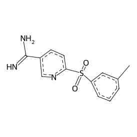 Cc1cccc(S(=O)(=O)c2ccc(C(=N)N)cn2)c1